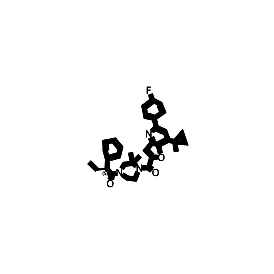 CC[C@H](C(=O)N1CCN(C(=O)c2cc3nc(-c4ccc(F)cc4)cc(C4(C)CC4)c3o2)C(C)(C)C1)c1ccccc1